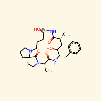 CCCCNC(=O)[C@H](C)C[C@H](O)[C@H](Cc1ccccc1)NC(=O)[C@H](C)N1CC[C@@]2(CCCN2CCCCO)C1=O